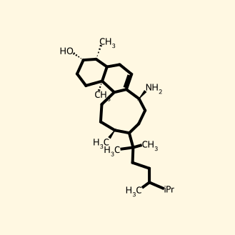 CC(C)C(C)CCC(C)(C)C1CC[C@H](N)C2=CCC3[C@@H](C)[C@@H](O)CC[C@]3(C)C2CC[C@@H]1C